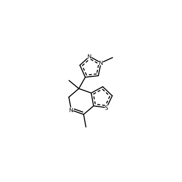 CC1=NCC(C)(c2cnn(C)c2)c2ccsc21